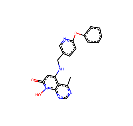 Cc1ncnc2c1c(NCc1ccc(Oc3ccccc3)nc1)cc(=O)n2O